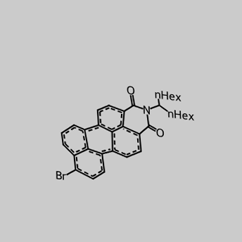 CCCCCCC(CCCCCC)N1C(=O)c2ccc3c4cccc5c(Br)ccc(c6ccc(c2c36)C1=O)c54